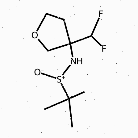 CC(C)(C)[S+]([O-])NC1(C(F)F)CCOC1